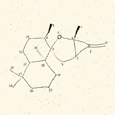 C=C1C2C[C@@]3(O[C@]12C)[C@H](C)CCC1C(C)(C)CCC[C@@]13C